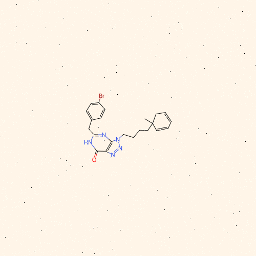 CC1(CCCCn2nnc3c(=O)[nH]c(Cc4ccc(Br)cc4)nc32)C=CC=CC1